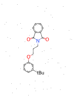 CC(C)(C)c1cccc(OCCCN2C(=O)c3ccccc3C2=O)c1